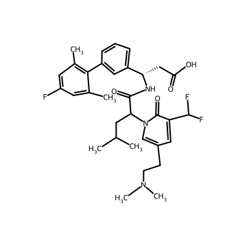 Cc1cc(F)cc(C)c1-c1cccc([C@H](CC(=O)O)NC(=O)C(CC(C)C)n2cc(CCN(C)C)cc(C(F)F)c2=O)c1